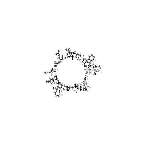 CC(C)C[C@@H]1NC(=O)[C@H](Cc2c[nH]cn2)NC(=O)[C@H](Cc2c[nH]c3ccccc23)NC(=O)[C@H](C)NC(=O)[C@@H](NC(C)(C)C)CC(=O)NCCC[C@@H](C(=O)N[C@H](C(N)=O)[C@@H](C)O)NC(=O)[C@H](Cc2c[nH]c3ccccc23)NC(=O)[C@H](C(C)C)NC(=O)[C@H](CC(C)C)NC(=O)[C@H](CCC(=O)O)NC(=O)CNC1=O